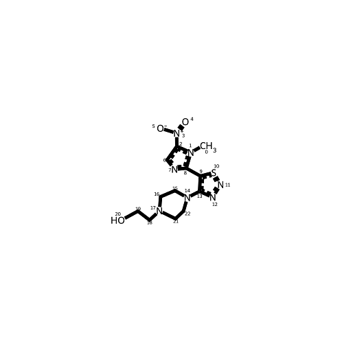 Cn1c([N+](=O)[O-])cnc1-c1snnc1N1CCN(CCO)CC1